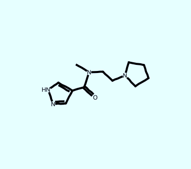 CN(CCN1CCCC1)C(=O)c1cn[nH]c1